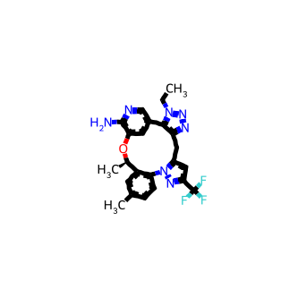 CCn1nnc2c1-c1cnc(N)c(c1)O[C@H](C)c1cc(C)ccc1-n1nc(C(F)(F)F)cc1C2